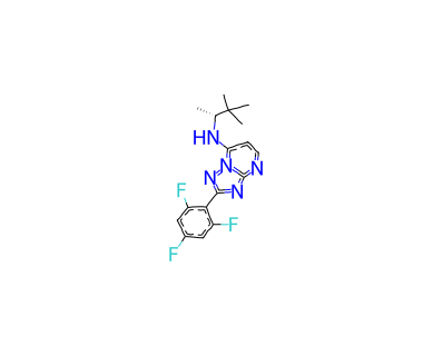 C[C@@H](Nc1ccnc2nc(-c3c(F)cc(F)cc3F)nn12)C(C)(C)C